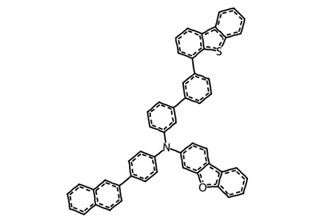 c1cc(-c2cccc(N(c3ccc(-c4ccc5ccccc5c4)cc3)c3ccc4c(c3)oc3ccccc34)c2)cc(-c2cccc3c2sc2ccccc23)c1